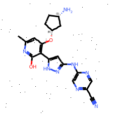 Cc1cc(O[C@@H]2CC[C@H](N)C2)c(-c2cc(Nc3cnc(C#N)cn3)n[nH]2)c(O)n1